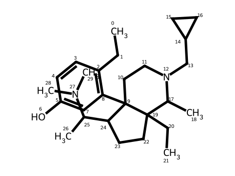 CCc1ccc(O)cc1C12CCN(CC3CC3)C(C)C1(CC)CCC2C(C)N(C)C